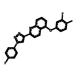 Cc1ccc(Oc2cccc3nc(-c4cn(-c5ccc(F)cc5)nn4)ccc23)cc1F